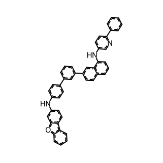 c1ccc(-c2ccc(Nc3cccc4ccc(-c5cccc(-c6ccc(Nc7ccc8c(c7)oc7ccccc78)cc6)c5)cc34)cn2)cc1